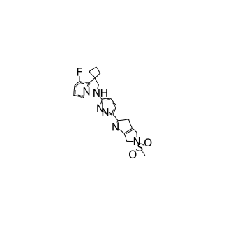 CS(=O)(=O)N1CC2=C(C1)N=C(c1ccc(NCC3(c4ncccc4F)CCC3)nn1)C2